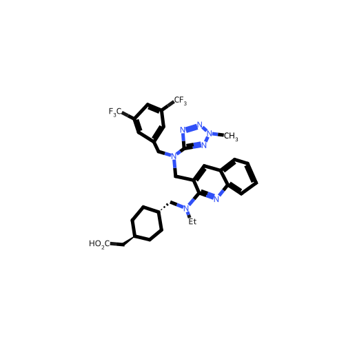 CCN(C[C@H]1CC[C@H](CC(=O)O)CC1)c1nc2ccccc2cc1CN(Cc1cc(C(F)(F)F)cc(C(F)(F)F)c1)c1nnn(C)n1